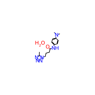 Cc1nnnn1CCCC(=O)Nc1ccc(N(C)C)cc1.O